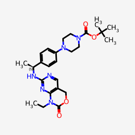 CCN1C(=O)OCc2cnc(N[C@@H](C)c3ccc(N4CCN(C(=O)OC(C)(C)C)CC4)cc3)nc21